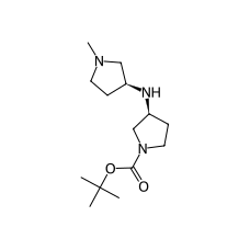 CN1CC[C@H](N[C@H]2CCN(C(=O)OC(C)(C)C)C2)C1